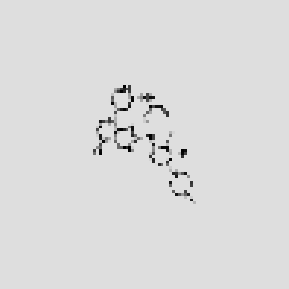 C=CC(=O)Nc1cc(-n2ccc(=O)c3cnc(Nc4ccc(N5CCN(C)CC5)c(F)c4F)nc32)ccn1